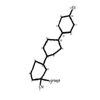 CCCCCCCC1(C#N)CCCC(C2CCC(C3CCC(CC)CC3)CC2)C1